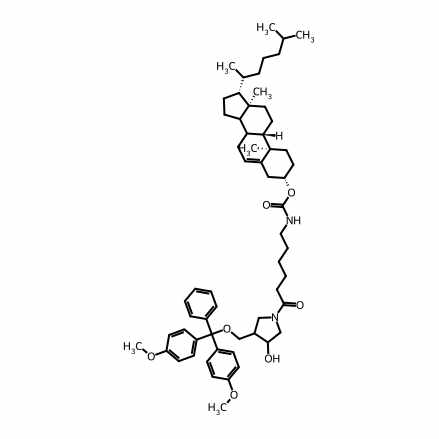 COc1ccc(C(OCC2CN(C(=O)CCCCCNC(=O)O[C@H]3CC[C@@]4(C)C(=CCC5C6CC[C@H](C(C)CCCC(C)C)[C@@]6(C)CC[C@@H]54)C3)CC2O)(c2ccccc2)c2ccc(OC)cc2)cc1